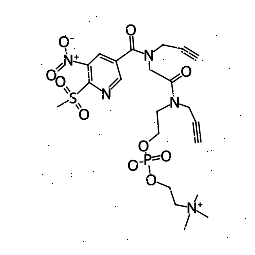 C#CCN(CCOP(=O)([O-])OCC[N+](C)(C)C)C(=O)CN(CC#C)C(=O)c1cnc(S(C)(=O)=O)c([N+](=O)[O-])c1